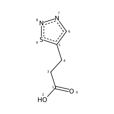 O=C(O)CCc1cnns1